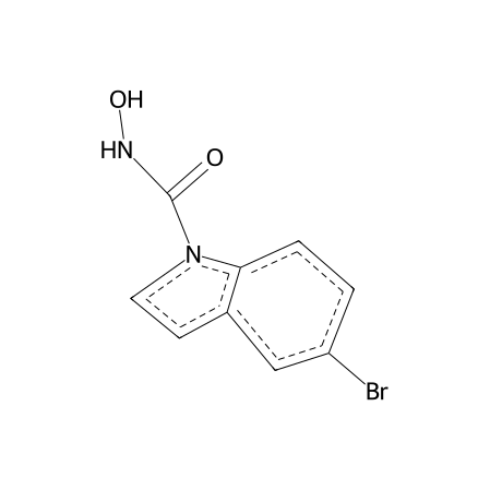 O=C(NO)n1ccc2cc(Br)ccc21